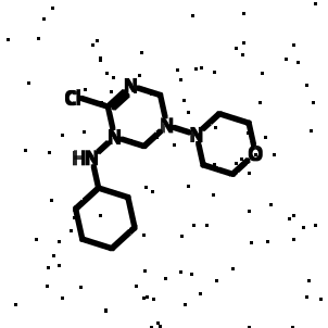 ClC1=NCN(N2CCOCC2)CN1NC1CCCCC1